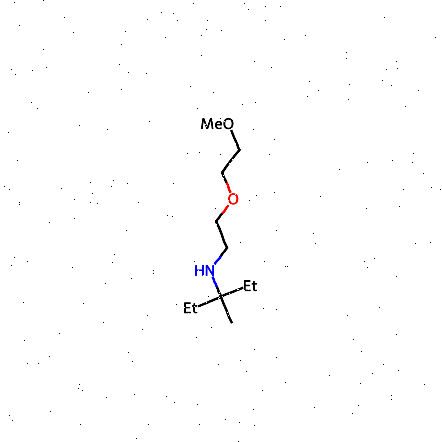 CCC(C)(CC)NCCOCCOC